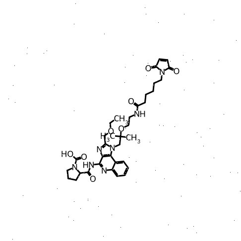 CCOCc1nc2c(NC(=O)C3CCCN3C(=O)O)nc3ccccc3c2n1CC(C)(C)OCCNC(=O)CCCCCN1C(=O)C=CC1=O